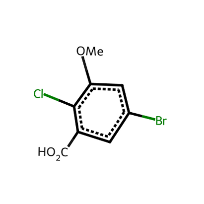 COc1cc(Br)cc(C(=O)O)c1Cl